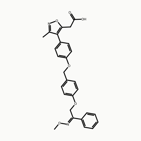 CO/N=C(\COc1ccc(COc2ccc(-c3c(C)noc3CC(=O)O)cc2)cc1)c1ccccc1